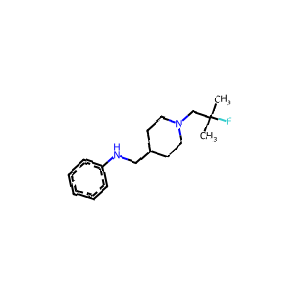 CC(C)(F)CN1CCC(CNc2ccccc2)CC1